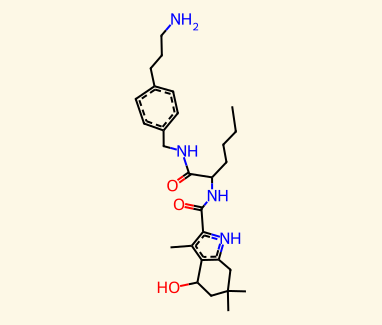 CCCCC(NC(=O)c1[nH]c2c(c1C)C(O)CC(C)(C)C2)C(=O)NCc1ccc(CCCN)cc1